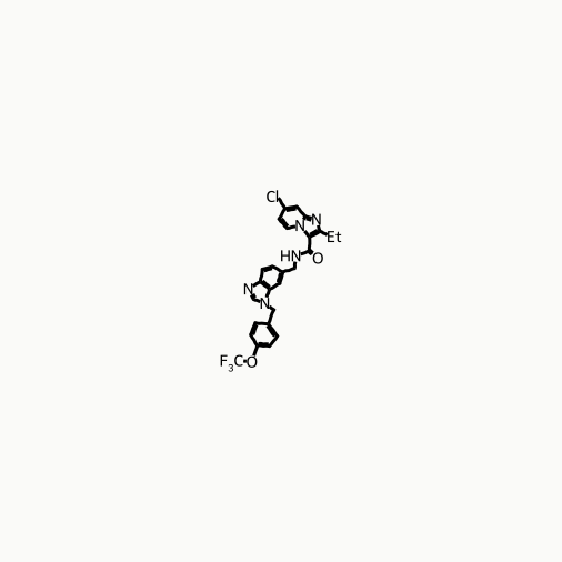 CCc1nc2cc(Cl)ccn2c1C(=O)NCc1ccc2ncn(Cc3ccc(OC(F)(F)F)cc3)c2c1